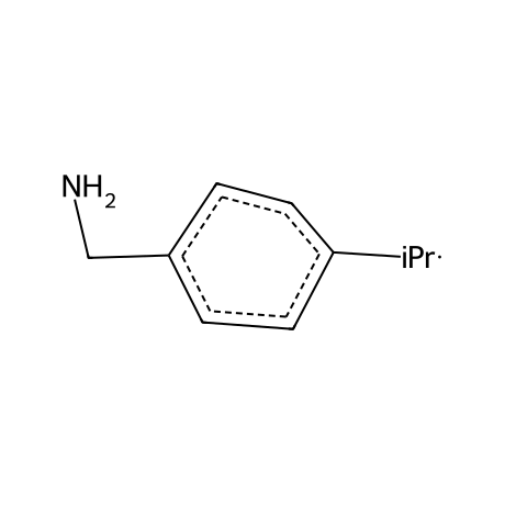 C[C](C)c1ccc(CN)cc1